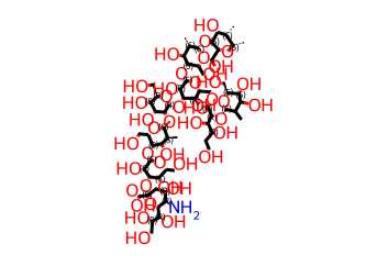 CC1C(O)[C@H](O)[C@H](CO)O[C@H]1O[C@H](C(O)[C@H](O)CCO)[C@H](O)OCC1O[C@@H](O[C@@H]2C(CO)O[C@@H](O[C@@H]3C(CO)O[C@@H](C)[C@@H](C)C3O)[C@@H](C)C2O)[C@H](O)C(O[C@H]2O[C@H](CO)[C@@H](O)C(O)C2O[C@@H]2OC(CO)[C@@H](O[C@@H]3OC(CO)[C@H](O)C(O[C@]4(C(=O)O)C[C@@H](O)[C@@H](N)C([C@H](O)[C@H](O)CO)O4)[C@@H]3O)C(O)[C@@H]2C)[C@@H]1O